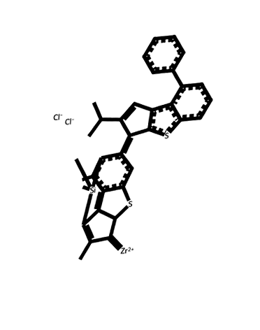 CC1=C2C3=c4c(cc(=C5C(C(C)C)=Cc6c5sc5cccc(-c7ccccc7)c65)c(c4C)[Si]2(C)C)SC3[C]1=[Zr+2].[Cl-].[Cl-]